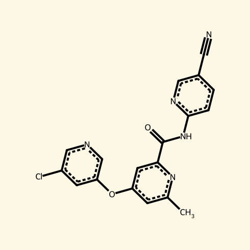 Cc1cc(Oc2cncc(Cl)c2)cc(C(=O)Nc2ccc(C#N)cn2)n1